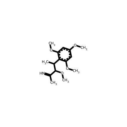 COc1cc(OC)c(C(C)C(OC)C(C)=N)c(OC)c1